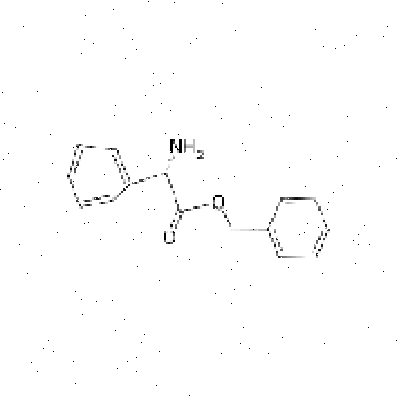 N[C@H](C(=O)OCc1ccccc1)c1ccccc1